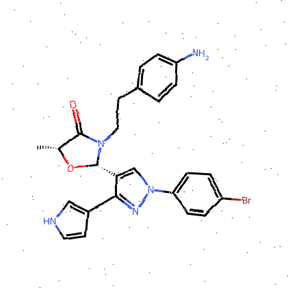 C[C@H]1O[C@@H](c2cn(-c3ccc(Br)cc3)nc2-c2cc[nH]c2)N(CCc2ccc(N)cc2)C1=O